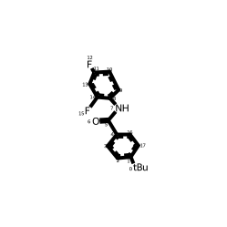 CC(C)(C)c1ccc(C(=O)Nc2ccc(F)cc2F)cc1